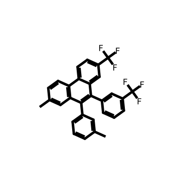 Cc1cccc(-c2c(-c3cccc(C(F)(F)F)c3)c3cc(C(F)(F)F)ccc3c3ccc(C)cc23)c1